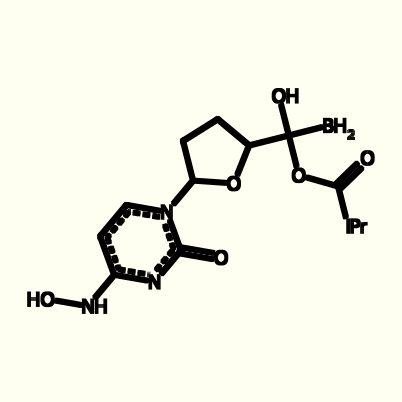 BC(O)(OC(=O)C(C)C)C1CCC(n2ccc(NO)nc2=O)O1